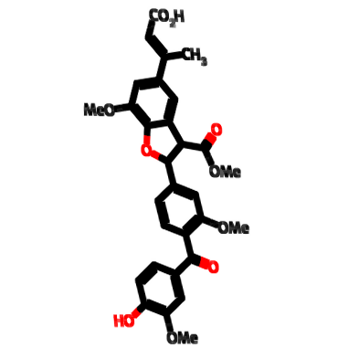 COC(=O)C1c2cc(/C(C)=C/C(=O)O)cc(OC)c2OC1c1ccc(C(=O)c2ccc(O)c(OC)c2)c(OC)c1